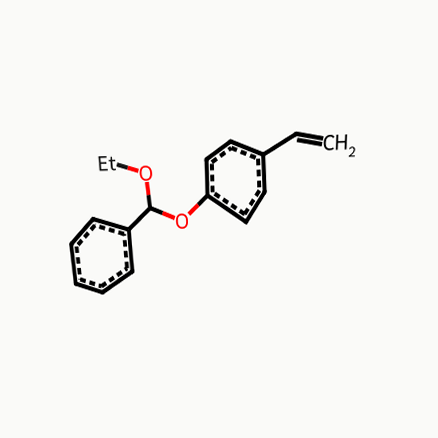 C=Cc1ccc(OC(OCC)c2ccccc2)cc1